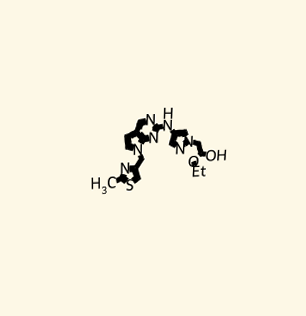 CCOC(O)Cn1cc(Nc2ncc3ccn(Cc4csc(C)n4)c3n2)cn1